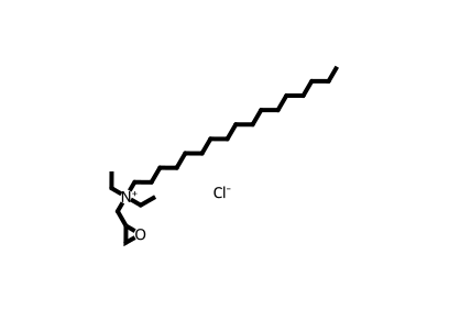 CCCCCCCCCCCCCCCCC[N+](CC)(CC)CC1CO1.[Cl-]